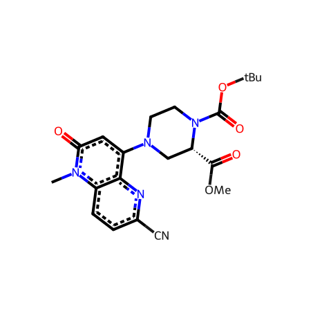 COC(=O)[C@@H]1CN(c2cc(=O)n(C)c3ccc(C#N)nc23)CCN1C(=O)OC(C)(C)C